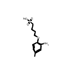 Cc1ccc(OCCCCS(=O)(=O)O)c(N)c1